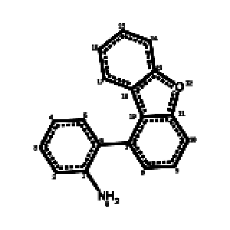 Nc1ccccc1-c1cccc2oc3ccccc3c12